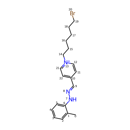 Cc1ccccc1N/N=C/c1cc[n+](CCCCCCBr)cc1